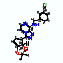 CC1(C)OC2=CC=C(c3nnc4c(NCc5cccc(Cl)c5)nccn34)[C@@H]2O1